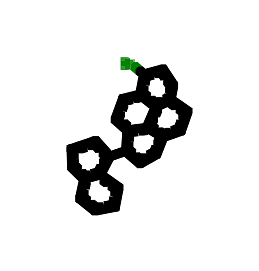 Brc1ccc2ccc3ccc(-c4cccc5ccccc45)c4ccc1c2c34